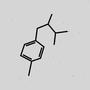 [CH2]C(C)C(C)Cc1ccc(C)cc1